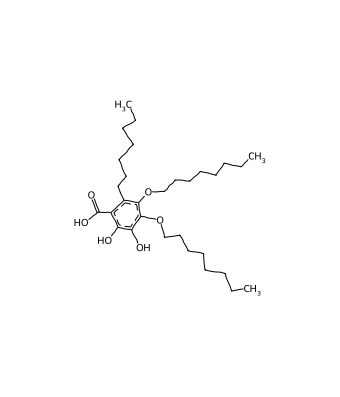 CCCCCCCCOc1c(O)c(O)c(C(=O)O)c(CCCCCCC)c1OCCCCCCCC